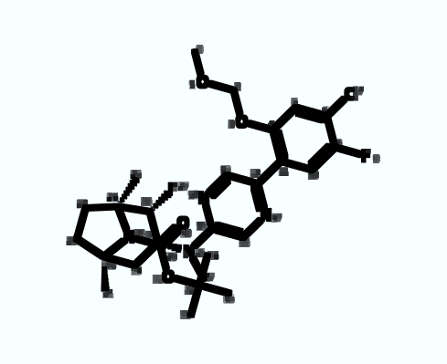 COCOc1cc(Cl)c(F)cc1-c1cnc(N(C)[C@@H]2C[C@@]3(C)CC[C@@](C)([C@@H]2F)N3C(=O)OC(C)(C)C)cn1